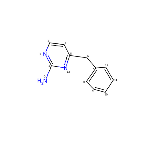 Nc1nccc(Cc2ccccc2)n1